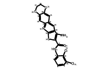 Nc1c(C(=O)Nc2cccc(Cl)c2Cl)sc2nc3cc4c(cc3cc12)OCCO4